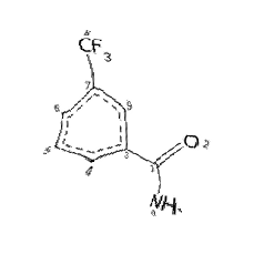 [NH]C(=O)c1cccc(C(F)(F)F)c1